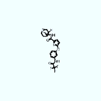 O=C(N[C@H]1CN2CCC1CC2)c1ccc(Oc2cccc(NC(=O)C(F)(F)F)c2)s1